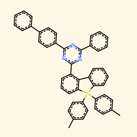 Cc1ccc(S2(c3ccc(C)cc3)c3ccccc3-c3c(-c4nc(-c5ccccc5)nc(-c5ccc(-c6ccccc6)cc5)n4)cccc32)cc1